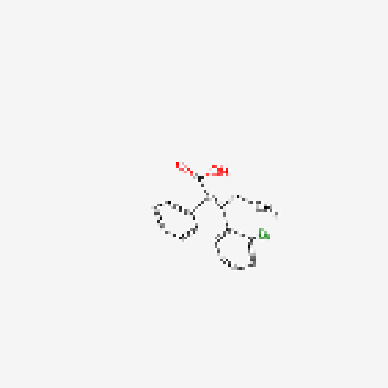 CCC(=C(C(=O)O)c1ccccc1)c1ccccc1Br